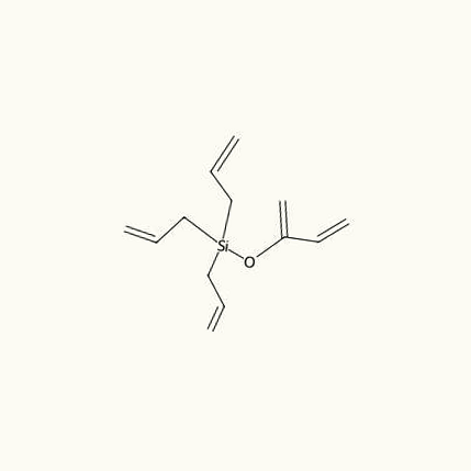 C=CC[Si](CC=C)(CC=C)OC(=C)C=C